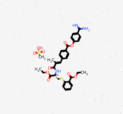 CCOC(=O)c1ccccc1SC[C@@H](NC(=O)C(C)=Cc1ccc(C(=O)Oc2ccc(C(=N)N)cc2)cc1)C(=O)OCC.CS(=O)(=O)O